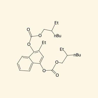 CCCCC(CC)COC(=O)Oc1cc(CC)c(OC(=O)OCC(CC)CCCC)c2ccccc12